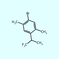 C[C](c1cc(C)c(Br)cc1C)C(F)(F)F